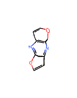 c1cc2nc3occc3nc2o1